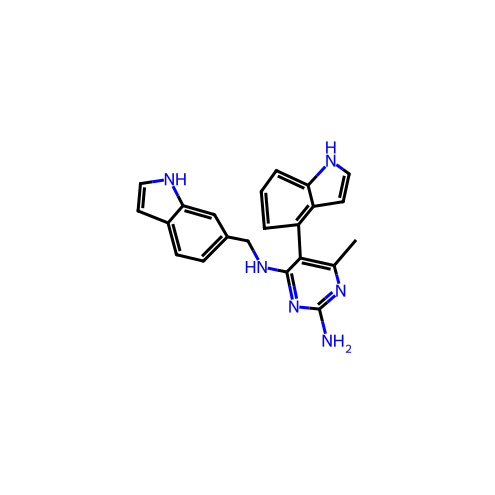 Cc1nc(N)nc(NCc2ccc3cc[nH]c3c2)c1-c1cccc2[nH]ccc12